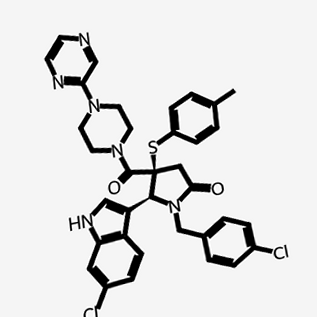 Cc1ccc(S[C@@]2(C(=O)N3CCN(c4cnccn4)CC3)CC(=O)N(Cc3ccc(Cl)cc3)[C@H]2c2c[nH]c3cc(Cl)ccc23)cc1